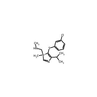 CNC[N+]1(C)C=NC(C(C)C)=C1Sc1cccc(Cl)c1